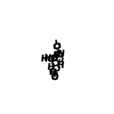 Cc1ccc(-c2nc3c(s2)[C@]2(O)[C@@H](O)C[C@H]4[C@@H]5CCC(=O)[C@@]5(C)CC[C@@H]4[C@@]2(C)CC3)cc1